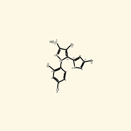 CCc1c(C(=O)O)nn(-c2ccc(Cl)cc2Cl)c1-c1cc(Br)cs1